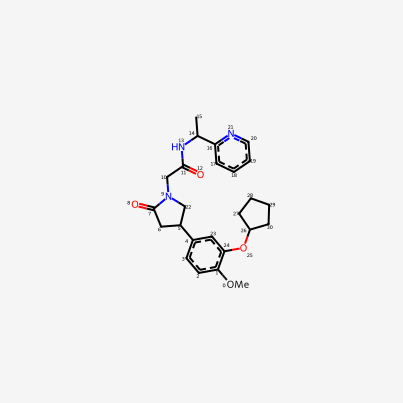 COc1ccc(C2CC(=O)N(CC(=O)NC(C)c3ccccn3)C2)cc1OC1CCCC1